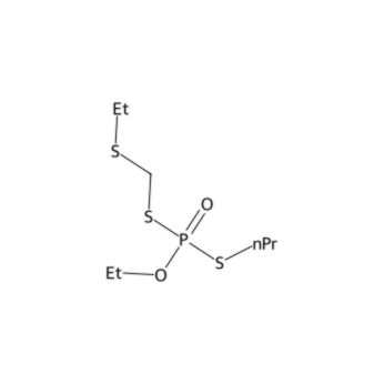 CCCSP(=O)(OCC)SCSCC